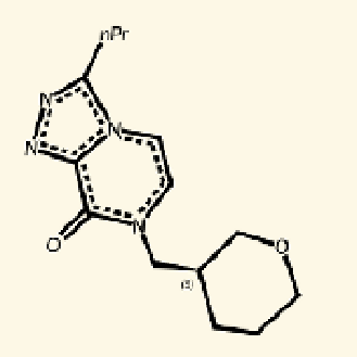 CCCc1nnc2c(=O)n(C[C@@H]3CCCOC3)ccn12